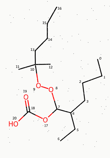 CCCCC(CC)C(OOC(C)(C)CCCC)OC(=O)O